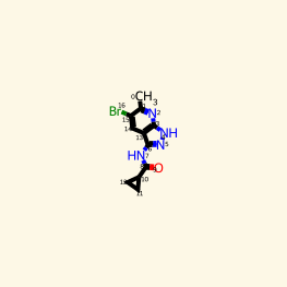 Cc1nc2[nH]nc(NC(=O)C3CC3)c2cc1Br